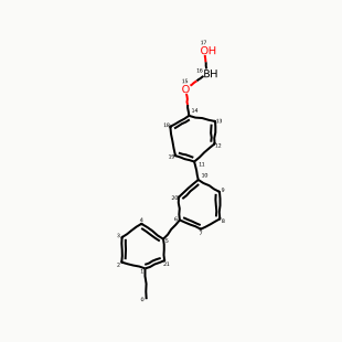 Cc1cccc(-c2cccc(-c3ccc(OBO)cc3)c2)c1